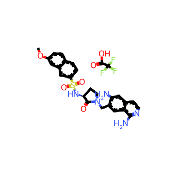 COc1ccc2ccc(S(=O)(=O)N[C@H]3CCN(Cc4cc5c(N)nccc5cc4N)C3=O)cc2c1.O=C(O)C(F)(F)F